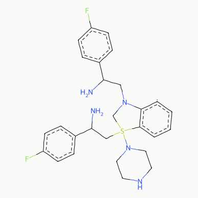 NC(CN1CS(CC(N)c2ccc(F)cc2)(N2CCNCC2)c2ccc[c]c21)c1ccc(F)cc1